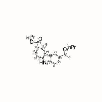 CCCOC(C)c1ccc2[nH]c3cnc(C(=O)OC(C)C)c(C)c3c2c1